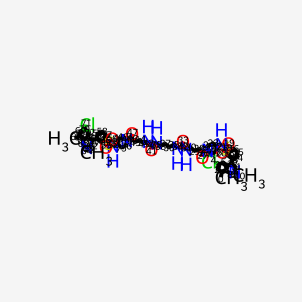 Cc1cc(Cl)cc2c1CN(C)CC2c1cccc(S(=O)(=O)NC2CCN(C(=O)CCCNC(=O)NCCCCNC(=O)NCCCC(=O)N3CCC(NS(=O)(=O)c4cccc(C5CN(C)Cc6c(C)cc(Cl)cc65)c4)CC3)CC2)c1